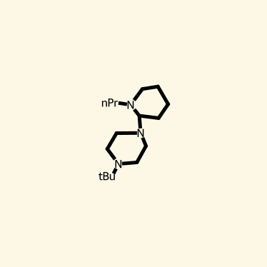 CCCN1CCCCC1N1CCN(C(C)(C)C)CC1